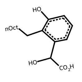 CCCCCCCCCc1c(O)cccc1C(O)C(=O)O